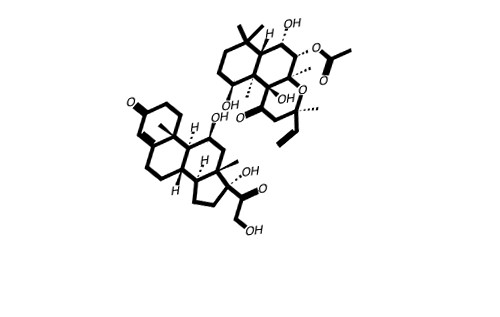 C=C[C@@]1(C)CC(=O)[C@]2(O)[C@@]3(C)[C@@H](O)CCC(C)(C)[C@@H]3[C@H](O)[C@H](OC(C)=O)[C@@]2(C)O1.C[C@]12CCC(=O)C=C1CC[C@@H]1[C@@H]2[C@@H](O)C[C@@]2(C)[C@H]1CC[C@]2(O)C(=O)CO